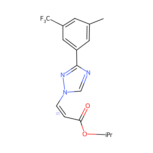 Cc1cc(-c2ncn(/C=C\C(=O)OC(C)C)n2)cc(C(F)(F)F)c1